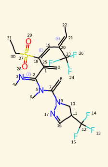 C=C(/C(=N/C)N(C)C(=C)N1CC(C(F)(F)F)C=N1)/C(=C\C(=C/C)C(F)(F)F)S(=O)(=O)CC